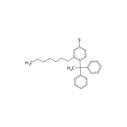 CCCCCCCc1cc([S])ccc1C(C)(c1ccccc1)c1ccccc1